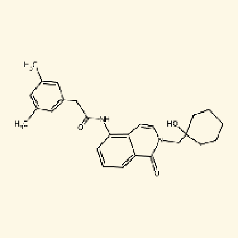 Cc1cc(C)cc(CC(=O)Nc2cccc3c(=O)n(CC4(O)CCCCC4)ccc23)c1